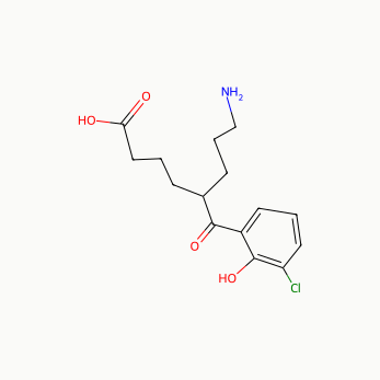 NCCCC(CCCC(=O)O)C(=O)c1cccc(Cl)c1O